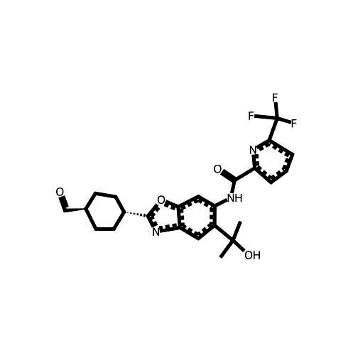 CC(C)(O)c1cc2nc([C@H]3CC[C@H](C=O)CC3)oc2cc1NC(=O)c1cccc(C(F)(F)F)n1